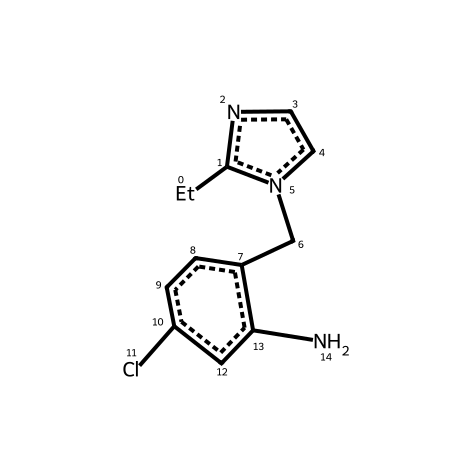 CCc1nccn1Cc1ccc(Cl)cc1N